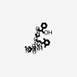 Cc1cccc(C)c1-c1cc(OC2CN(C(=O)C(CO)c3ccccc3)C2)nc(NS(=O)(=O)c2cnn(C)c2)n1